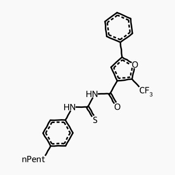 CCCCCc1ccc(NC(=S)NC(=O)c2cc(-c3ccccc3)oc2C(F)(F)F)cc1